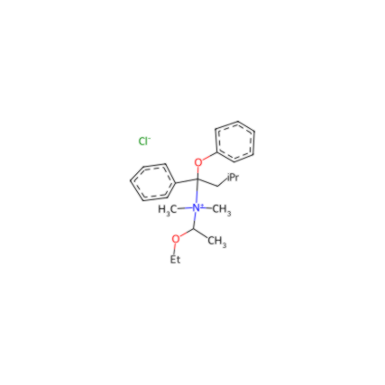 CCOC(C)[N+](C)(C)C(CC(C)C)(Oc1ccccc1)c1ccccc1.[Cl-]